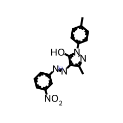 Cc1ccc(-n2nc(C)c(/N=N/c3cccc([N+](=O)[O-])c3)c2O)cc1